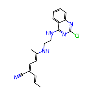 CC=C/C(C#N)=C\C=C(/C)NCCNc1nc(Cl)nc2ccccc12